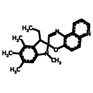 CCC1c2c(cc(C)c(C)c2C)N(C)C12C=Nc1c(ccc3ncccc13)O2